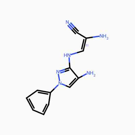 N#C/C(N)=C\Nc1nn(-c2ccccc2)cc1N